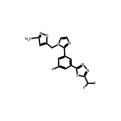 Cc1cc(Cn2ccnc2-c2cc(F)cc(-c3nnc(C(F)F)o3)c2)on1